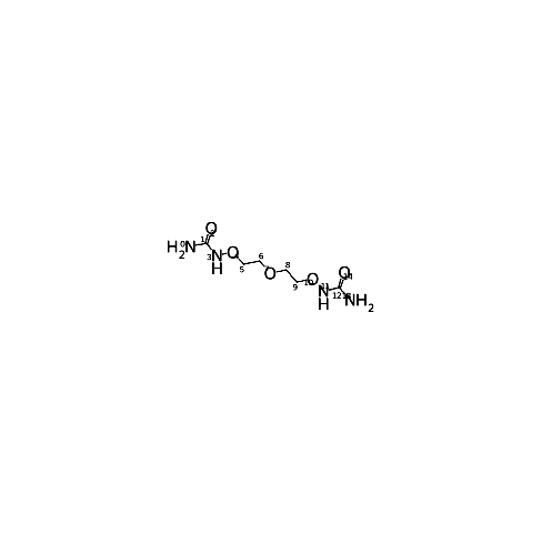 NC(=O)NOCCOCCONC(N)=O